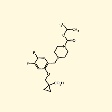 CC(OC(=O)N1CCN(Cc2cc(F)c(F)cc2OCC2(C(=O)O)CC2)CC1)C(F)(F)F